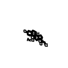 CC(=O)O[C@H]1C[C@]2(C)C(C(=O)CCl)=CC[C@H]2[C@@H]2CCC3=CC(=O)C=C[C@]3(C)[C@@]12F